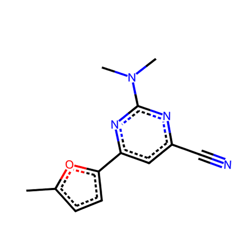 Cc1ccc(-c2cc(C#N)nc(N(C)C)n2)o1